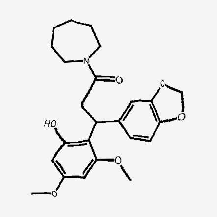 COc1cc(O)c(C(CC(=O)N2CCCCCC2)c2ccc3c(c2)OCO3)c(OC)c1